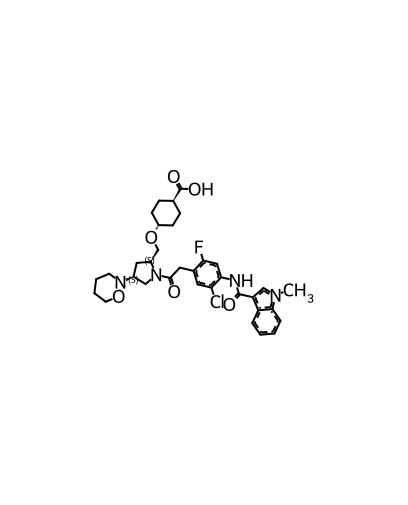 Cn1cc(C(=O)Nc2cc(F)c(CC(=O)N3C[C@@H](N4CCCCO4)C[C@H]3CO[C@H]3CC[C@H](C(=O)O)CC3)cc2Cl)c2ccccc21